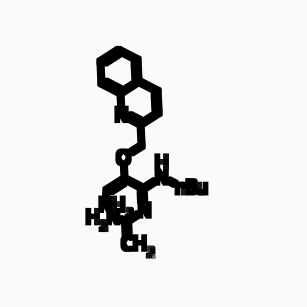 C=C(N)/N=C(NCCCC)\C(=C/N)OCc1ccc2ccccc2n1